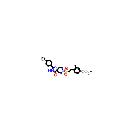 CCC1CCC(C2=NC3(CCN(S(=O)(=O)CCc4ccc(C(=O)O)cc4C)CC3)C(=O)N2)CC1